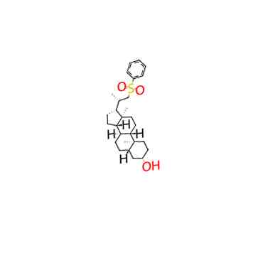 C[C@H](CS(=O)(=O)c1ccccc1)[C@H]1CC[C@H]2[C@@H]3CC[C@H]4C[C@@H](O)CC[C@]4(C)[C@H]3CC[C@]12C